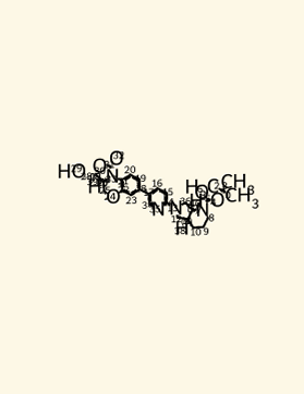 CC(C)(C)OC(=O)N1CCC[C@H]2CN(c3ccc(-c4ccc5c(c4)OC[C@H]4[C@H](CO)OC(=O)N54)cn3)C[C@H]21